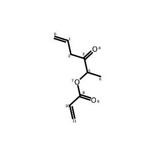 C=CCC(=O)C(C)OC(=O)C=C